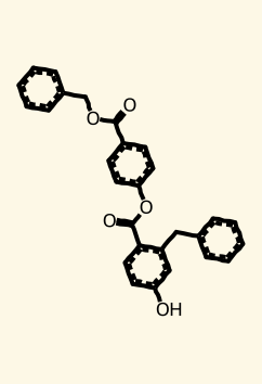 O=C(OCc1ccccc1)c1ccc(OC(=O)c2ccc(O)cc2Cc2ccccc2)cc1